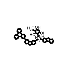 C=Cc1c(O)cc(O)c(C2=NC(c3ccc4c(c3)-c3cc(-c5ccc6c7ccccc7c7ccccc7c6c5)ccc3C4)=NC(c3ccc4c(c3)Cc3ccccc3-4)N2)c1O